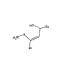 CCC(O)/C=C(\SN)C(C)C